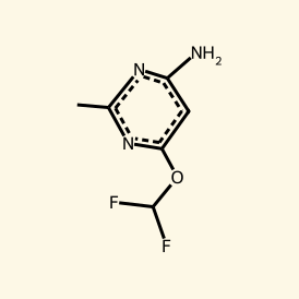 Cc1nc(N)cc(OC(F)F)n1